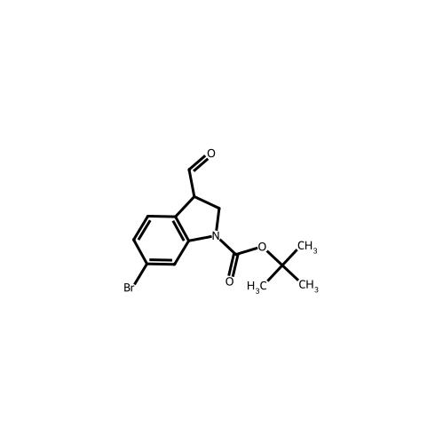 CC(C)(C)OC(=O)N1CC(C=O)c2ccc(Br)cc21